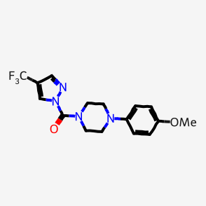 COc1ccc(N2CCN(C(=O)n3cc(C(F)(F)F)cn3)CC2)cc1